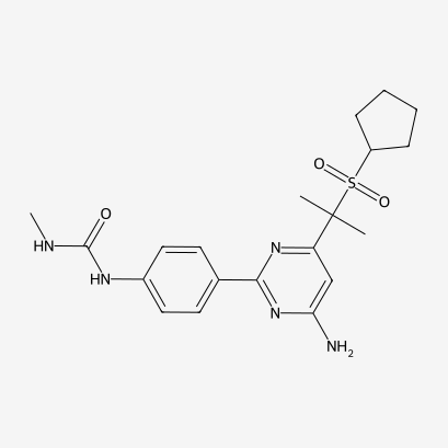 CNC(=O)Nc1ccc(-c2nc(N)cc(C(C)(C)S(=O)(=O)C3CCCC3)n2)cc1